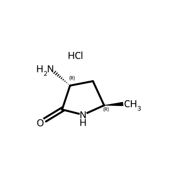 C[C@@H]1C[C@@H](N)C(=O)N1.Cl